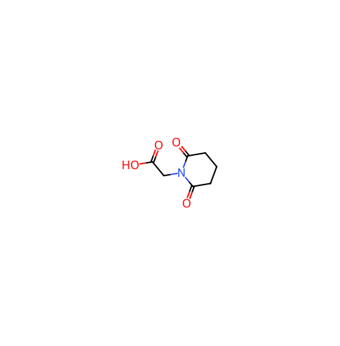 O=C(O)CN1C(=O)CCCC1=O